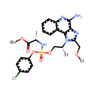 CCOCc1nc2c(N)nc3ccccc3c2n1[C@H](CC)CO[P@@](=O)(N[C@@H](C)C(=O)OC(C)(C)C)Oc1ccc(Cl)cc1